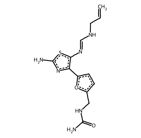 C=CCNC=Nc1sc(N)nc1-c1ccc(CNC(N)=O)o1